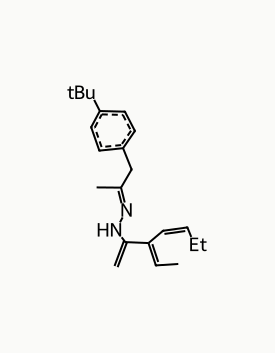 C=C(N/N=C(\C)Cc1ccc(C(C)(C)C)cc1)C(/C=C\CC)=C/C